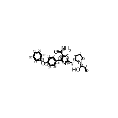 C=CC(O)N1CCC[C@H]1Cc1nc(-c2ccc(Oc3ccccc3)cc2)c(C(N)=O)s1